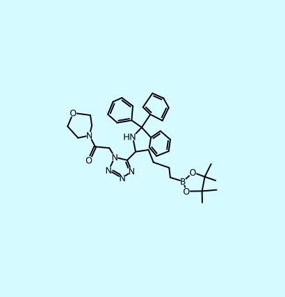 CC1(C)OB(CCCCC(NC(c2ccccc2)(c2ccccc2)c2ccccc2)c2nnnn2CC(=O)N2CCOCC2)OC1(C)C